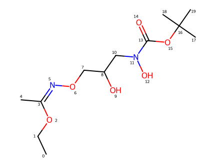 CCO/C(C)=N\OCC(O)CN(O)C(=O)OC(C)(C)C